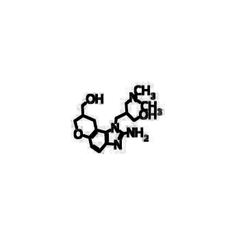 CN(C)CC(CO)Cn1c(N)nc2ccc3c(c21)CC(CO)CO3